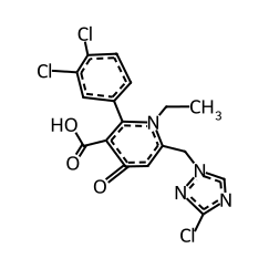 CCn1c(Cn2cnc(Cl)n2)cc(=O)c(C(=O)O)c1-c1ccc(Cl)c(Cl)c1